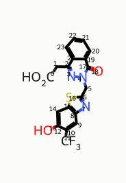 O=C(O)Cc1nn(Cc2nc3cc(C(F)(F)F)c(O)cc3s2)c(=O)c2ccccc12